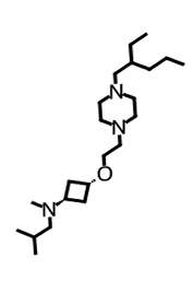 CCCC(CC)CN1CCN(CCO[C@H]2C[C@H](N(C)CC(C)C)C2)CC1